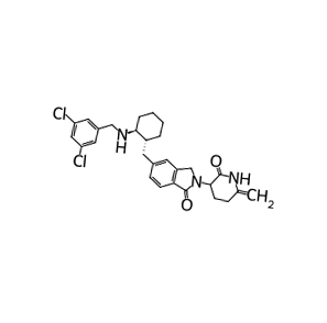 C=C1CCC(N2Cc3cc(C[C@H]4CCCC[C@@H]4NCc4cc(Cl)cc(Cl)c4)ccc3C2=O)C(=O)N1